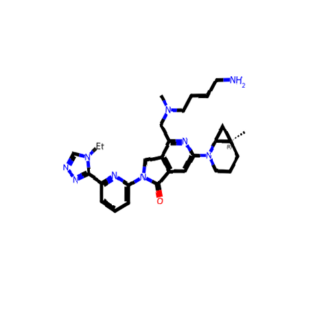 CCn1cnnc1-c1cccc(N2Cc3c(cc(N4CCC[C@]5(C)CC45)nc3CN(C)CCCCN)C2=O)n1